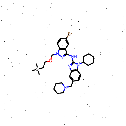 C[Si](C)(C)CCOCn1nc(Nc2nc3cc(CN4CCCCC4)ccc3n2C2CCCCC2)c2cc(Br)ccc21